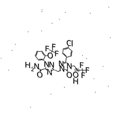 NC(=O)c1nc(Cn2nc(-c3ccc(Cl)cc3)n(C[C@@H](O)C(F)(F)F)c2=O)nn1-c1ccccc1OC(F)(F)F